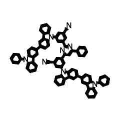 N#Cc1cc(-c2cc(-c3ccccc3)nc(-c3cc(C#N)cc(-n4c5ccccc5c5cc(-c6ccc7c(c6)c6ccccc6n7-c6ccccc6)ccc54)c3)n2)cc(-n2c3ccccc3c3cc(-c4ccc5c(c4)c4ccccc4n5-c4ccccc4)ccc32)c1